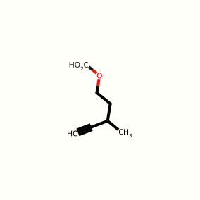 C#CC(C)CCOC(=O)O